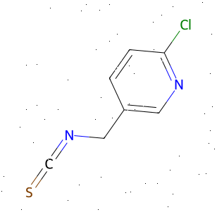 S=C=NCc1ccc(Cl)nc1